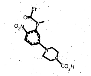 CCC(=O)N(C)c1cc(N2CCN(C(=O)O)CC2)ccc1[N+](=O)[O-]